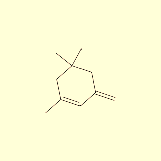 C=C1C=C(C)CC(C)(C)C1